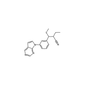 CCC(C#N)C(SC)c1cccc(-n2ccc3cncnc32)c1